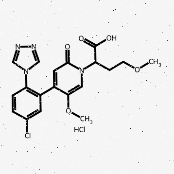 COCCC(C(=O)O)n1cc(OC)c(-c2cc(Cl)ccc2-n2cnnc2)cc1=O.Cl